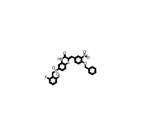 O=C1Nc2cc(S(=O)(=O)Cc3c(F)cccc3F)ccc2S/C1=C\c1ccc(OCc2ccccc2)c([N+](=O)[O-])c1